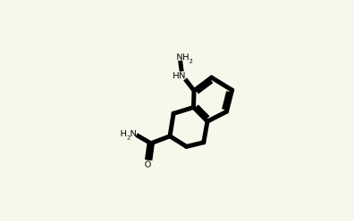 NNc1cccc2c1CC(C(N)=O)CC2